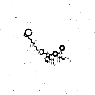 C=CC(=O)Nc1cc(-c2nn(C3CCN(CCNC(=O)CCCC45CCCCCC(CC4)C5)CC3)c3ncnc(N)c23)ccc1Oc1ccccc1